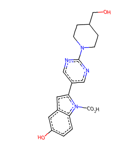 O=C(O)n1c(-c2cnc(N3CCC(CO)CC3)nc2)cc2cc(O)ccc21